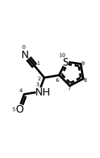 N#CC(NC=O)c1cccs1